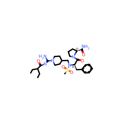 CCC(CC)C(=O)N=C(N)N1CCC(CN([C@H](Cc2ccccc2)C(=O)N2CCC[C@H]2C(N)=O)S(C)(=O)=O)CC1